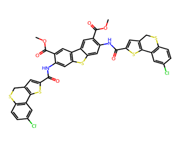 COC(=O)c1cc2c(cc1NC(=O)c1cc3c(s1)-c1cc(Cl)ccc1SC3)sc1cc(NC(=O)c3cc4c(s3)-c3cc(Cl)ccc3SC4)c(C(=O)OC)cc12